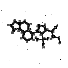 CCOC(=O)c1cnn(-c2cccc3c2ccn2cnnc32)c1C(F)(F)F